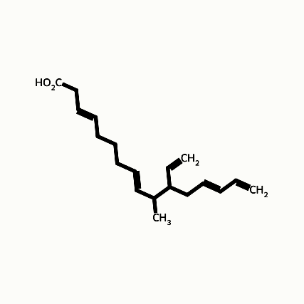 C=CC=CCC(C=C)C(C)C=CCCCC=CCC(=O)O